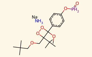 COC1(c2ccc(O[PH2]=O)cc2)OOC1(COCC(C)(C)C)C(C)(C)C.N.[Na]